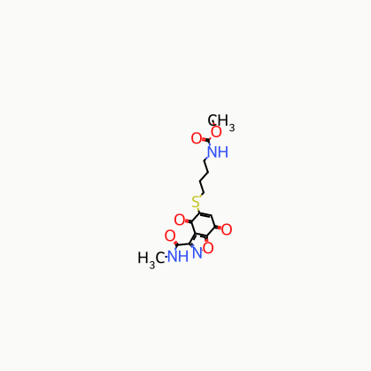 CNC(=O)c1noc2c1C(=O)C(SCCCCNC(=O)OC)=CC2=O